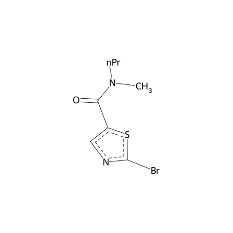 CCCN(C)C(=O)c1cnc(Br)s1